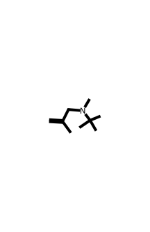 C=C(C)CN(C)C(C)(C)C